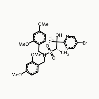 COc1ccc(CN(Cc2ccc(OC)cc2OC)S(=O)(=O)[C@@H](C)C(C)(O)c2ncc(Br)cn2)c(OC)c1